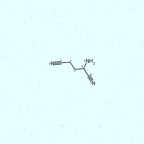 N#CCCC(N)C#N